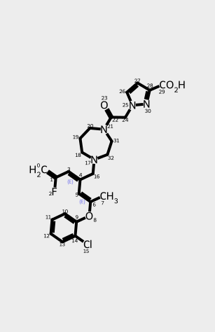 C=C(F)/C=C(\C=C(/C)Oc1ccccc1Cl)CN1CCCN(C(=O)Cn2ccc(C(=O)O)n2)CC1